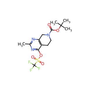 Cc1nc2c(c(OS(=O)(=O)C(F)(F)F)n1)CCN(C(=O)OC(C)(C)C)C2